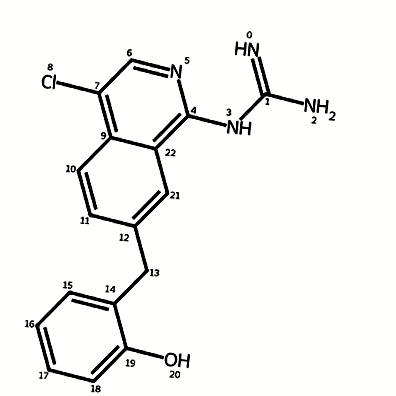 N=C(N)Nc1ncc(Cl)c2ccc(Cc3ccccc3O)cc12